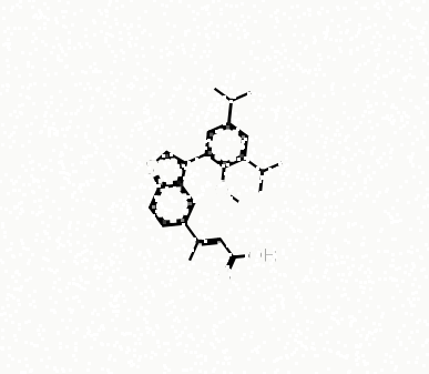 COc1c(-c2csc3ccc(C(C)=CC(=O)O)cc23)cc(C(C)C)cc1C(C)C